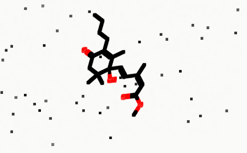 CCCCC1=C(C)[C@](O)(/C=C/C(C)=C\C(=O)OC)C(C)(C)CC1=O